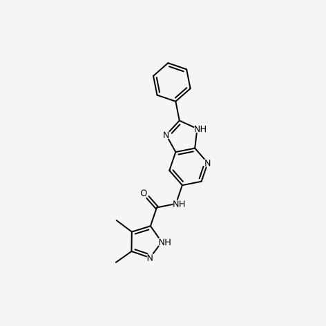 Cc1n[nH]c(C(=O)Nc2cnc3[nH]c(-c4ccccc4)nc3c2)c1C